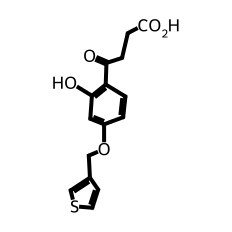 O=C(O)CCC(=O)c1ccc(OCc2ccsc2)cc1O